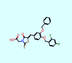 O=C(O)CN1C(=O)/C(=C/c2ccc(OCc3ccc(F)cc3F)c(OCc3ccccc3)c2)SC1=S